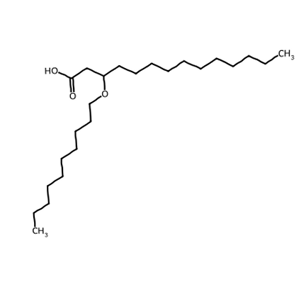 CCCCCCCCCCCC(CC(=O)O)OCCCCCCCCCC